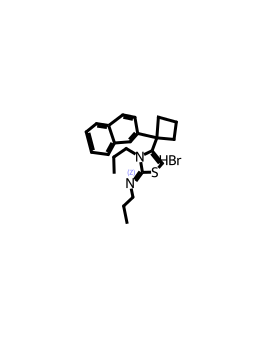 Br.CCC/N=c1\scc(C2(c3ccc4ccccc4c3)CCC2)n1CCC